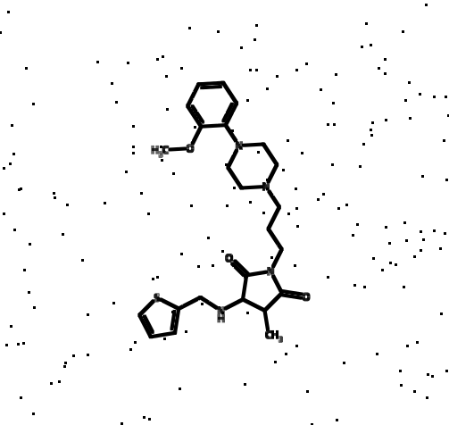 COc1ccccc1N1CCN(CCCN2C(=O)C(C)C(NCc3cccs3)C2=O)CC1